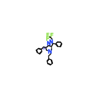 FC(F)(F)CN1N=C2/C(=C/c3ccccc3)CN(CCc3ccccc3)CC2C1c1ccccc1